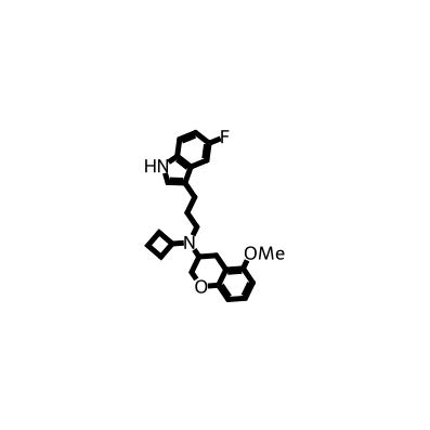 COc1cccc2c1CC(N(CCCc1c[nH]c3ccc(F)cc13)C1CCC1)CO2